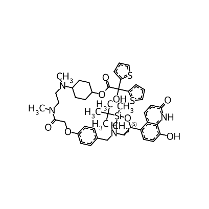 CN(CCN(C)C1CCC(OC(=O)C(O)(c2cccs2)c2cccs2)CC1)C(=O)COc1ccc(CNC[C@@H](O[Si](C)(C)C(C)(C)C)c2ccc(O)c3[nH]c(=O)ccc23)cc1